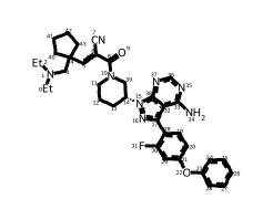 CCN(CC)CC1(C=C(C#N)C(=O)N2CCC[C@@H](n3nc(-c4ccc(Oc5ccccc5)cc4F)c4c(N)ncnc43)C2)CCCC1